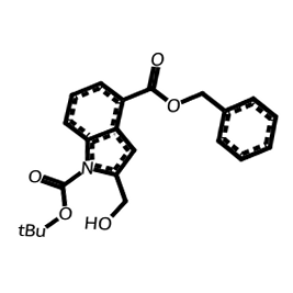 CC(C)(C)OC(=O)n1c(CO)cc2c(C(=O)OCc3ccccc3)cccc21